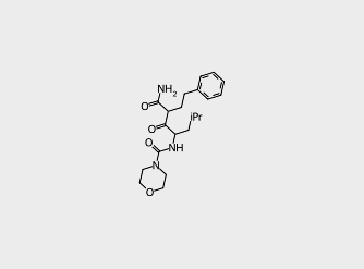 CC(C)CC(NC(=O)N1CCOCC1)C(=O)C(CCc1ccccc1)C(N)=O